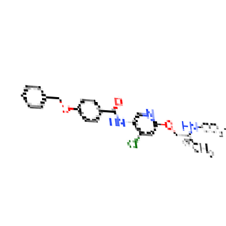 C[C@@H](COc1cc(Cl)c(NC(=O)c2ccc(OCc3ccccc3)cc2)cn1)NC(=O)O